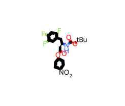 CC(C)(C)OC(=O)N[C@@H](CC(=O)Oc1ccc([N+](=O)[O-])cc1)Cc1cc(F)c(F)cc1F